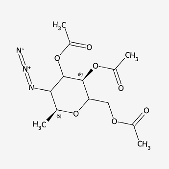 CC(=O)OCC1O[C@@H](C)C(N=[N+]=[N-])C(OC(C)=O)[C@H]1OC(C)=O